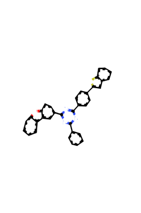 c1ccc(-c2nc(-c3ccc(-c4cc5ccccc5s4)cc3)nc(-c3ccc4oc5ccccc5c4c3)n2)cc1